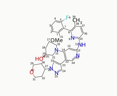 COc1cccc(F)c1-c1nc(Nc2cc(N3CCC[C@H](O)C3)c(-c3cnn(C4CCOCC4)c3)cn2)ccc1C